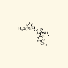 COc1cccc(SCCCN(C(N)=O)[C@H]2CC[C@H](C)CC2)c1